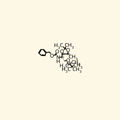 C[C@H]1OC(C)(C)O[C@H]1[C@H](CO[Si](C)(C)C(C)(C)C)NC(=O)OCc1ccccc1